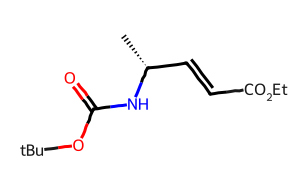 CCOC(=O)C=C[C@@H](C)NC(=O)OC(C)(C)C